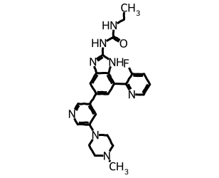 CCNC(=O)Nc1nc2cc(-c3cncc(N4CCN(C)CC4)c3)cc(-c3ncccc3F)c2[nH]1